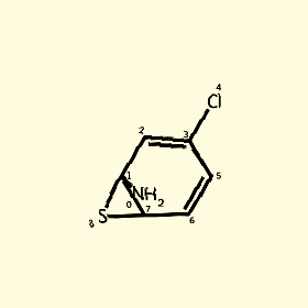 NC12C=C(Cl)C=CC1S2